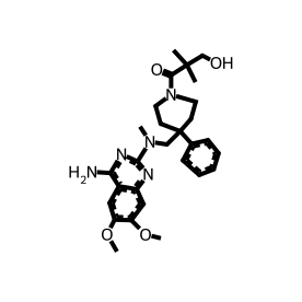 COc1cc2nc(N(C)CC3(c4ccccc4)CCN(C(=O)C(C)(C)CO)CC3)nc(N)c2cc1OC